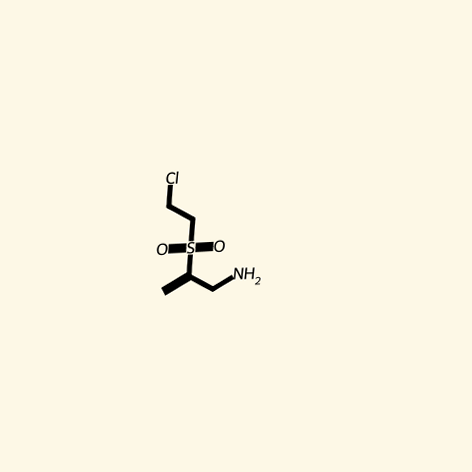 C=C(CN)S(=O)(=O)CCCl